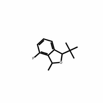 CC1OC(C(C)(C)C)c2cccc(F)c21